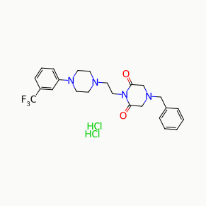 Cl.Cl.O=C1CN(Cc2ccccc2)CC(=O)N1CCN1CCN(c2cccc(C(F)(F)F)c2)CC1